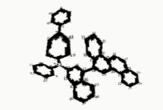 c1ccc(-c2ccc(N(c3ccccc3)c3cc(-c4cc5c6ccccc6ccc5c5ccccc45)c4ccccc4c3)cc2)cc1